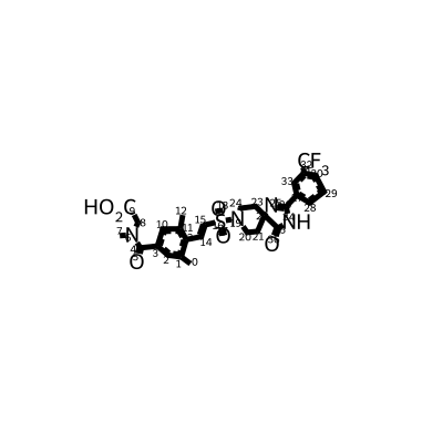 Cc1cc(C(=O)N(C)CC(=O)O)cc(C)c1C=CS(=O)(=O)N1CCC2(CC1)N=C(c1cccc(C(F)(F)F)c1)NC2=O